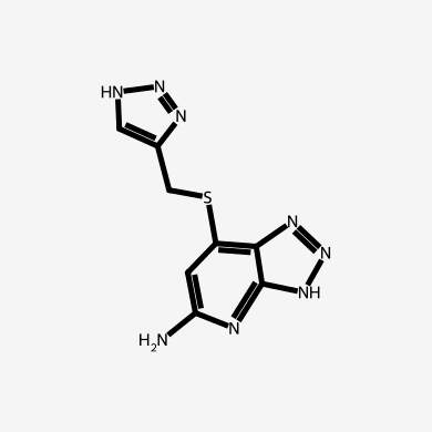 Nc1cc(SCc2c[nH]nn2)c2nn[nH]c2n1